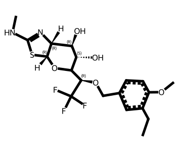 CCc1cc(CO[C@H](C2O[C@@H]3SC(NC)=N[C@@H]3[C@@H](O)[C@@H]2O)C(F)(F)F)ccc1OC